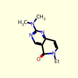 CCn1ccc2nc(N(C)C)ncc2c1=O